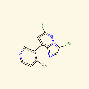 Cc1ccncc1-c1cc(Cl)nn2c(Br)cnc12